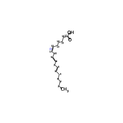 CCCCCC=CCC=CC/C=C\CCCCC(=O)O